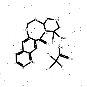 CCC1(OC)CNCC2CCOc3cc4cccnc4cc3C(=O)N21.O=C(O)C(F)(F)F